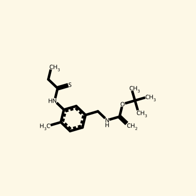 C=C(NCc1ccc(C)c(NC(=S)CC)c1)OC(C)(C)C